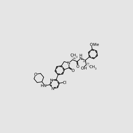 COc1cccc([C@H](NC(=O)[C@@H](C)N2Cc3ccc(-c4nc(NC5CCOCC5)ncc4Cl)cc3C2=O)[C@H](C)O)c1